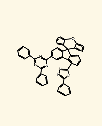 c1ccc(-c2nc(-c3ccccc3)nc(-c3ccc4c(c3)-c3c(-c5nnc(-c6ccccc6)o5)cccc3C43c4ccccc4Oc4ccccc43)n2)cc1